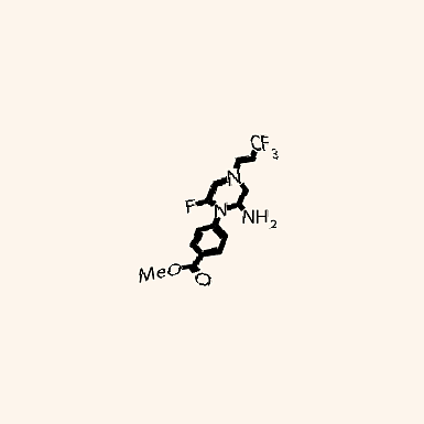 COC(=O)c1ccc(N2C(N)CN(CCC(F)(F)F)CC2F)cc1